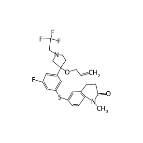 C=CCOC1(c2cc(F)cc(Sc3ccc4c(c3)CCC(=O)N4C)c2)CCN(CC(F)(F)F)C1